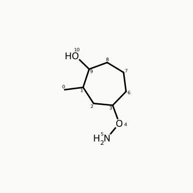 CC1CC(ON)CCCC1O